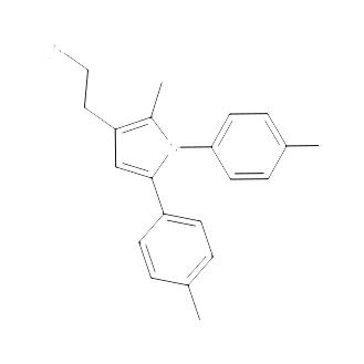 Cc1ccc(-c2cc(CCN)c(C)n2-c2ccc(F)cc2)cc1